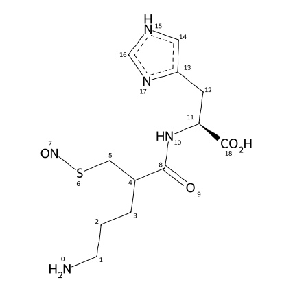 NCCCC(CSN=O)C(=O)N[C@@H](Cc1c[nH]cn1)C(=O)O